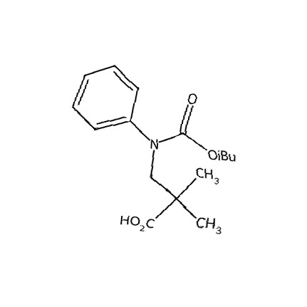 CC(C)COC(=O)N(CC(C)(C)C(=O)O)c1ccccc1